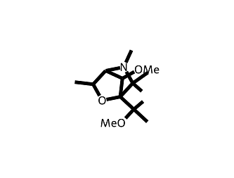 COC1C2C(C)OC1(C(C)(C)OC)C(C)(C)N2C